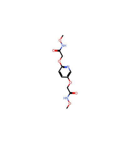 CONC(=O)COc1ccc(OCC(=O)NOC)nc1